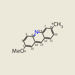 COc1ccc2nc3cc(C)ccc3cc2c1